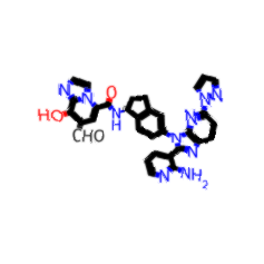 Nc1ncccc1-c1nc2ccc(-n3cccn3)nc2n1-c1ccc2c(c1)CC[C@@H]2NC(=O)c1cc(C=O)c(O)c2nccn12